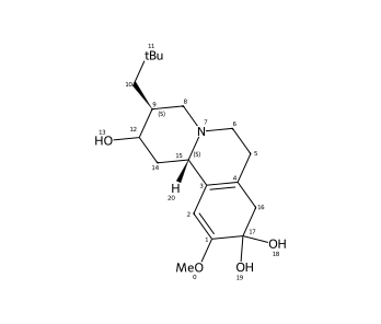 COC1=CC2=C(CCN3C[C@H](CC(C)(C)C)C(O)C[C@@H]23)CC1(O)O